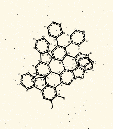 Cc1cc2c(c(-c3cc4oc5ccccc5c4c(-c4ccc(-c5ccccc5)c(-c5ccccc5)c4-c4ccnnn4)c3-c3c(C)c(C)cc4c3Cc3ccccc3-4)c1C)Cc1ccccc1-2